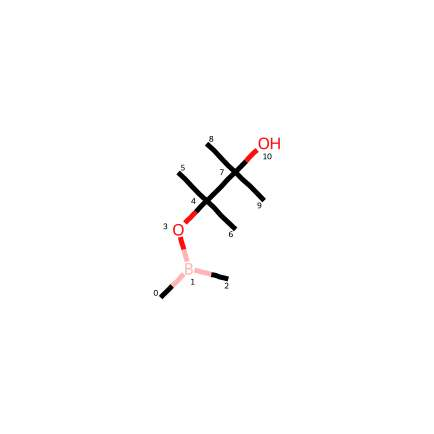 CB(C)OC(C)(C)C(C)(C)O